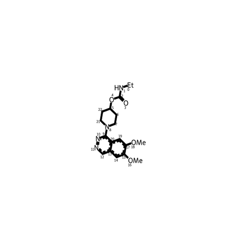 CCNC(=O)OC1CCN(c2nncc3cc(OC)c(OC)cc23)CC1